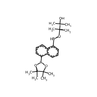 CC(C)(O)C(C)(C)OBc1cccc2c(B3OC(C)(C)C(C)(C)O3)cccc12